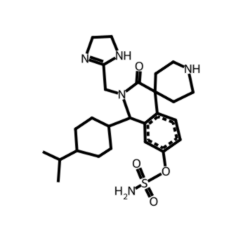 CC(C)C1CCC(C2c3cc(OS(N)(=O)=O)ccc3C3(CCNCC3)C(=O)N2CC2=NCCN2)CC1